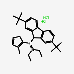 CC[Si](CC)=[Hf]([C]1=C(C)C=CC1)[CH]1c2cc(C(C)(C)C)ccc2-c2ccc(C(C)(C)C)cc21.Cl.Cl